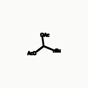 [CH2]CCCC(OC(C)=O)OC(C)=O